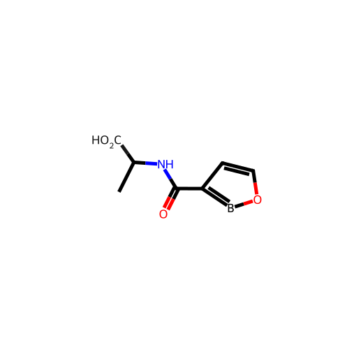 CC(NC(=O)c1bocc1)C(=O)O